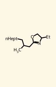 CCCCCCCCC(C)CC1=NC(CC)CO1